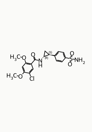 COc1cc(OC)c(C(=O)N[C@@H]2C[C@H]2c2ccc(S(N)(=O)=O)cc2)cc1Cl